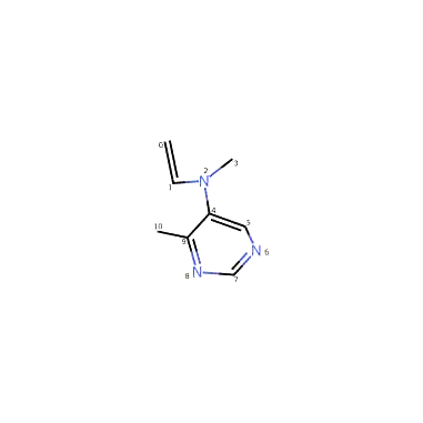 C=CN(C)c1cncnc1C